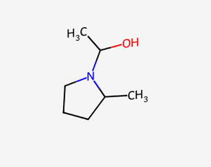 CC(O)N1CCCC1C